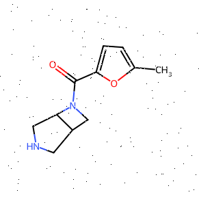 Cc1ccc(C(=O)N2CC3CNCC32)o1